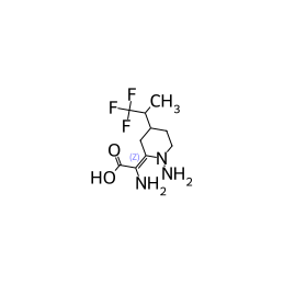 CC(C1CCN(N)/C(=C(\N)C(=O)O)C1)C(F)(F)F